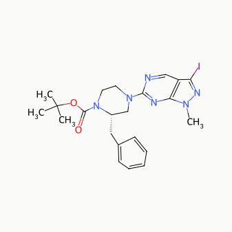 Cn1nc(I)c2cnc(N3CCN(C(=O)OC(C)(C)C)[C@@H](Cc4ccccc4)C3)nc21